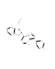 CCOC(=O)[C@](C)(Cc1ccccc1)c1ccnc2c(-c3ccc(Br)cc3)cnn12